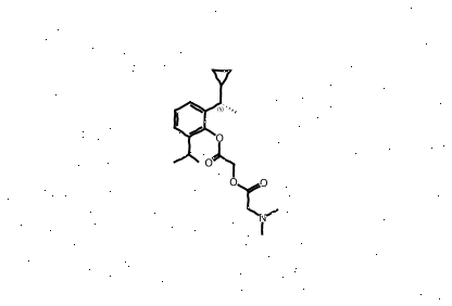 CC(C)c1cccc([C@@H](C)C2CC2)c1OC(=O)COC(=O)CN(C)C